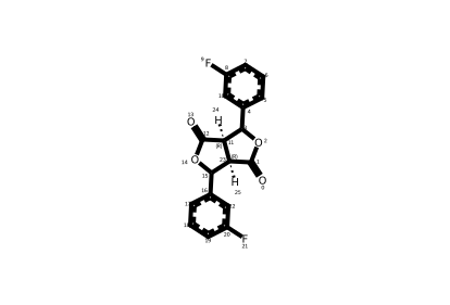 O=C1OC(c2cccc(F)c2)[C@@H]2C(=O)OC(c3cccc(F)c3)[C@H]12